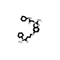 CN(C(=O)CCCOc1ccc2c(c1)CN(CC(=O)NC1CCCCC1)C(N)=N2)C1CCCCC1